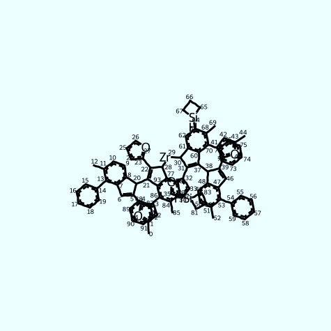 Cc1ccc(C2=Cc3c(ccc(C)c3-c3ccccc3)C2C2=C(c3ccco3)[CH]([Zr][CH]3C(c4ccco4)=C(C4C(c5ccc(C)o5)=Cc5c4ccc(C)c5-c4ccccc4)c4c3cc([SiH]3CCC3)c(C)c4-c3ccccc3)c3cc([SiH]4CCC4)c(C)c(-c4ccccc4)c32)o1